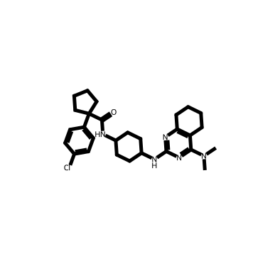 CN(C)c1nc(NC2CCC(NC(=O)C3(c4ccc(Cl)cc4)CCCC3)CC2)nc2c1CCCC2